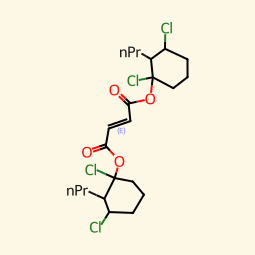 CCCC1C(Cl)CCCC1(Cl)OC(=O)/C=C/C(=O)OC1(Cl)CCCC(Cl)C1CCC